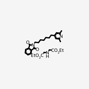 CCOC(=O)CNCC(=O)OCC.Cc1cc(CCCCCCCN2C(=O)c3ccccc3C2=O)cc(C)n1